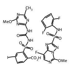 COc1nc(C)nc(NC(=O)NS(=O)(=O)c2cc(I)ccc2C(=O)O)n1.COc1ncc(F)c2nc(S(=O)(=O)Nc3c(F)cccc3F)nn12